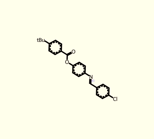 CC(C)(C)c1ccc(C(=O)Oc2ccc(/N=C/c3ccc(Cl)cc3)cc2)cc1